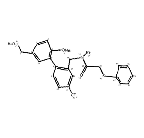 CCOC(=O)Cc1ccc(OC)c(-c2ccc(C(F)(F)F)cc2CN(CC)C(=O)CSc2ccccc2)c1